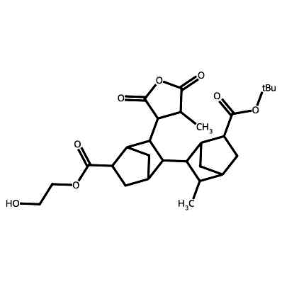 CC1C(=O)OC(=O)C1C1C2CC(CC2C(=O)OCCO)C1C1C(C)C2CC(C(=O)OC(C)(C)C)C1C2